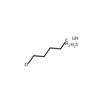 CCCCCCl.S.[LiH]